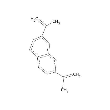 C=C(C)c1ccc2ccc(C(=C)C)cc2c1